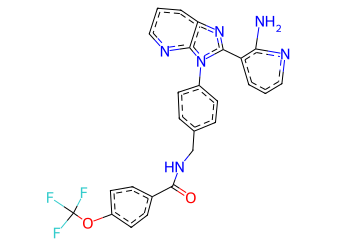 Nc1ncccc1-c1nc2cccnc2n1-c1ccc(CNC(=O)c2ccc(OC(F)(F)F)cc2)cc1